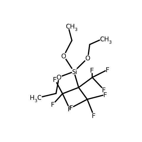 CCO[Si](OCC)(OCC)C(C(F)(F)F)(C(F)(F)F)C(F)(F)F